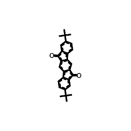 CC(C)(C)c1ccc2c(c1)c(=O)c1cc3c(cc12)c(=O)c1cc(C(C)(C)C)ccc13